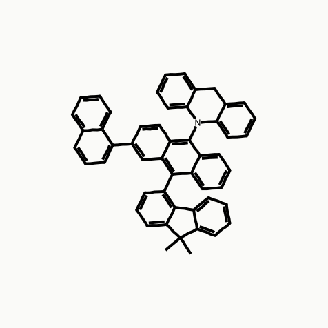 CC1(C)c2ccccc2-c2c(-c3c4ccccc4c(N4c5ccccc5Cc5ccccc54)c4ccc(-c5cccc6ccccc56)cc34)cccc21